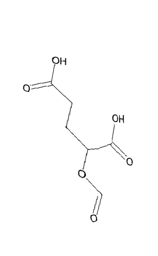 O=COC(CCC(=O)O)C(=O)O